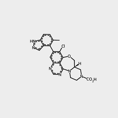 Cc1ccc2[nH]ncc2c1-c1cc2ncnc3c2c(c1Cl)OC[C@@H]1CN(C(=O)O)CCN31